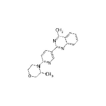 Cc1nc(-c2ccc(N3CCOCC3C)nc2)nc2ccccc12